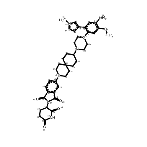 COc1cc(N2CCN(C3CCC4(CC3)CCN(c3ccc5c(c3)C(=O)N(C3CCC(=O)NC3=O)C5=O)CC4)CC2)c(-c2cnn(C)c2)cc1N